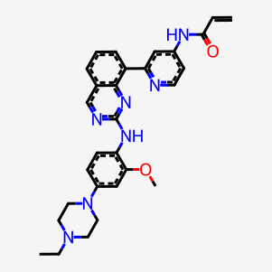 C=CC(=O)Nc1ccnc(-c2cccc3cnc(Nc4ccc(N5CCN(CC)CC5)cc4OC)nc23)c1